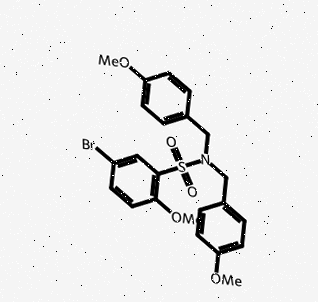 COc1ccc(CN(Cc2ccc(OC)cc2)S(=O)(=O)c2cc(Br)ccc2OC)cc1